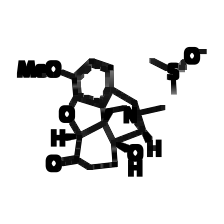 COc1ccc2c3c1O[C@H]1C(=O)CC[C@@]4(O)[C@@H](C2)N(C)CC[C@]314.C[S+](C)[O-]